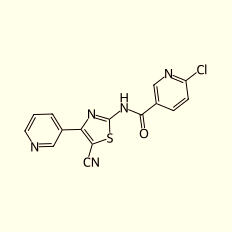 N#Cc1sc(NC(=O)c2ccc(Cl)nc2)nc1-c1cccnc1